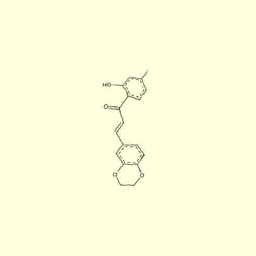 Cc1ccc(C(=O)C=Cc2ccc3c(c2)OCCO3)c(O)c1